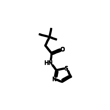 CC(C)(C)CC(=O)Nc1nccs1